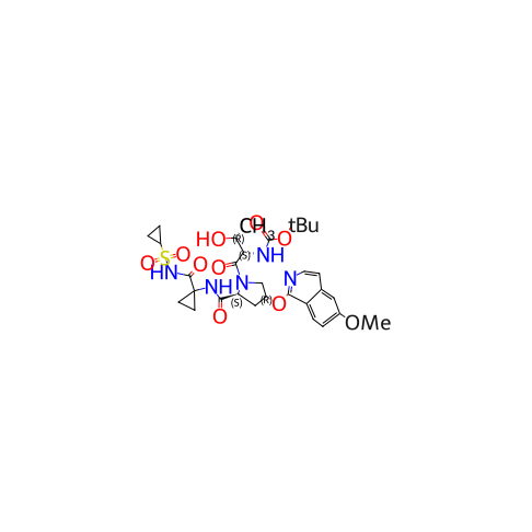 COc1ccc2c(O[C@@H]3C[C@@H](C(=O)NC4(C(=O)NS(=O)(=O)C5CC5)CC4)N(C(=O)[C@@H](NC(=O)OC(C)(C)C)[C@@H](C)O)C3)nccc2c1